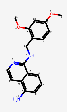 COc1ccc(CNc2nccc3c(N)cccc23)c(OC)c1